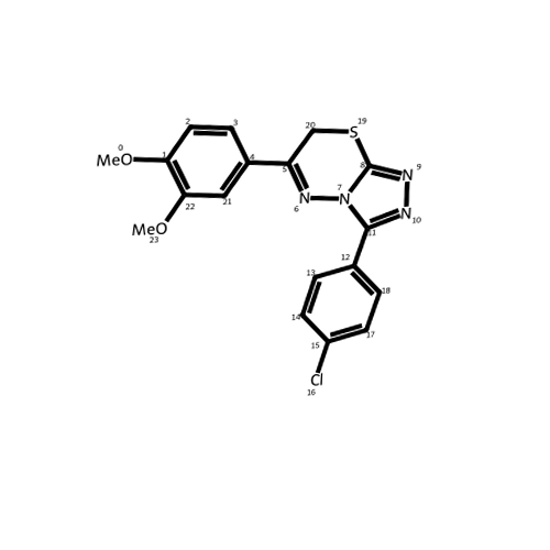 COc1ccc(C2=Nn3c(nnc3-c3ccc(Cl)cc3)SC2)cc1OC